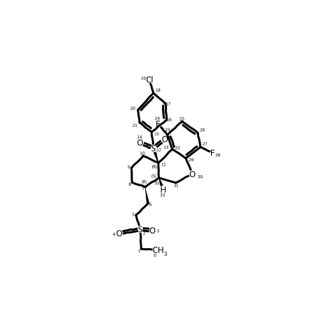 CCS(=O)(=O)CC[C@H]1CCC[C@]2(S(=O)(=O)c3ccc(Cl)cc3)c3c(F)ccc(F)c3OC[C@H]12